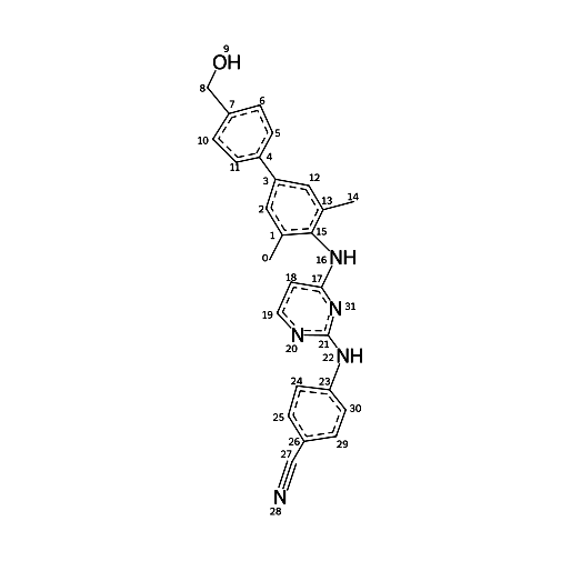 Cc1cc(-c2ccc(CO)cc2)cc(C)c1Nc1ccnc(Nc2ccc(C#N)cc2)n1